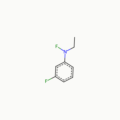 CCN(F)c1cccc(F)c1